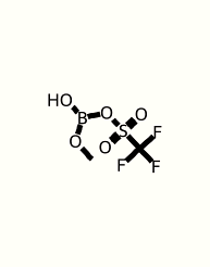 COB(O)OS(=O)(=O)C(F)(F)F